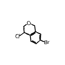 ClC1COCc2cc(Br)ccc21